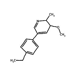 CCc1ccc(C2=CC(OC)C(C)N=C2)cc1